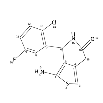 Nc1scc2c1C(c1cc(F)ccc1Cl)NC(=O)C2